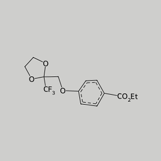 CCOC(=O)c1ccc(OCC2(C(F)(F)F)OCCO2)cc1